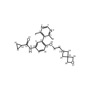 Cc1ncnc(C)c1-c1cc(NC(=O)C2CC2)ccc1OCCN1CC2(COC2)C1